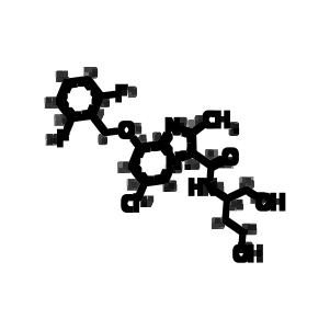 Cc1nc2c(OCc3c(F)cccc3F)cc(Cl)cn2c1C(=O)NC(CO)CCO